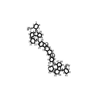 CC(C)c1ccccc1-n1c2ccccc2c2c(N(c3ccccc3)c3ccc4c(c3)oc3cc5cc6oc7cc(N(c8ccccc8)c8cccc9c8c8ccccc8n9-c8ccccc8C(C)C)ccc7c6cc5cc34)cccc21